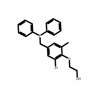 CCc1cc(CP(c2ccccc2)c2ccccc2)cc(C)c1OCCO